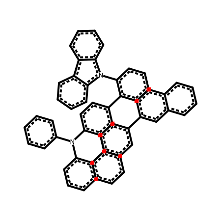 c1ccc(-c2cc(-c3ccccc3-n3c4ccccc4c4ccccc43)ccc2N(c2ccccc2)c2ccccc2-c2ccc(-c3ccc4ccccc4c3)cc2)cc1